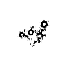 Cc1nc(NCC(F)(F)F)nc(N[C@@H]2C[C@H](C(O)c3nccn3C)C[C@H]2O)c1-c1nc2ccccc2s1